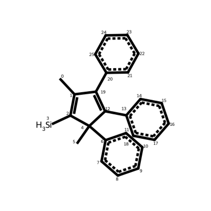 CC1=C([SiH3])C(C)(c2ccccc2)C(c2ccccc2)=C1c1ccccc1